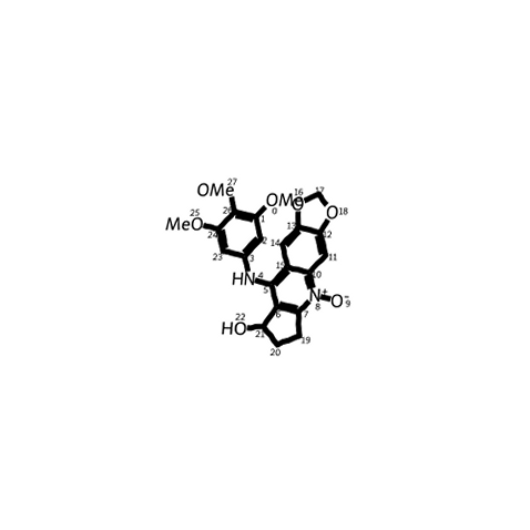 COc1cc(Nc2c3c([n+]([O-])c4cc5c(cc24)OCO5)CCC3O)cc(OC)c1OC